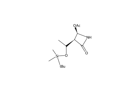 CC(=O)O[C@H]1NC(=O)[C@H]1C(C)O[Si](C)(C)C(C)(C)C